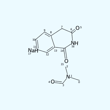 CN(C)C=O.O=C1Cc2ccccc2C(=O)N1.[NaH]